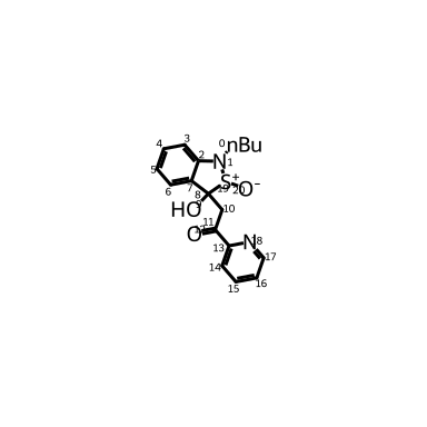 CCCCN1c2ccccc2C(O)(CC(=O)c2ccccn2)[S+]1[O-]